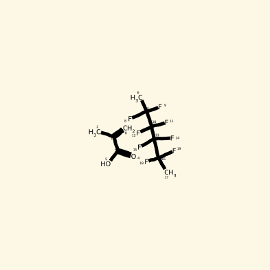 C=C(C)C(=O)O.CC(F)(F)C(F)(F)C(F)(F)C(C)(F)F